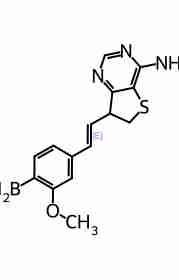 Bc1ccc(/C=C/C2CSc3c(N)ncnc32)cc1OC